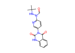 CC(C)(C)NN(C=O)c1ccc(-n2c(=O)[nH]c3ccccc3c2=O)cn1